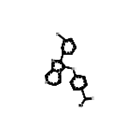 O=C(O)c1ccc(Nc2c(-c3cccc(Cl)c3)nc3cnccn23)cc1